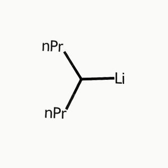 [Li][CH](CCC)CCC